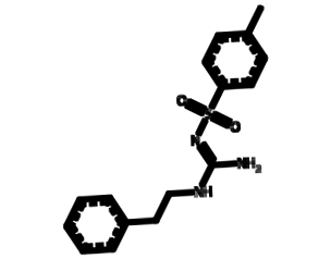 Cc1ccc(S(=O)(=O)/N=C(\N)NCCc2ccccc2)cc1